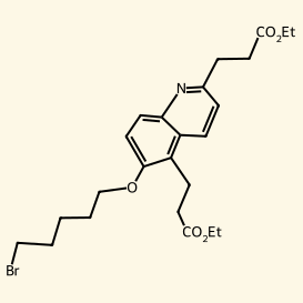 CCOC(=O)CCc1ccc2c(CCC(=O)OCC)c(OCCCCCBr)ccc2n1